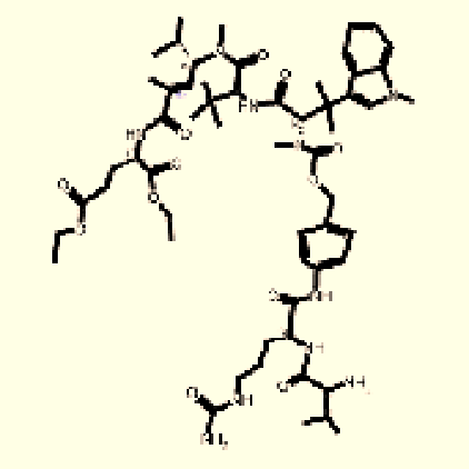 CCOC(=O)CC[C@@H](NC(=O)/C(C)=C/[C@H](C(C)C)N(C)C(=O)C(NC(=O)[C@@H](N(C)C(=O)OCc1ccc(NC(=O)[C@H](CCCNC(N)=O)NC(=O)C(N)C(C)C)cc1)C(C)(C)c1cn(C)c2ccccc12)C(C)(C)C)C(=O)OCC